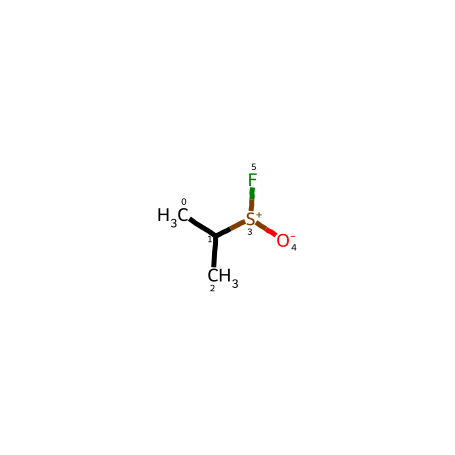 CC(C)[S+]([O-])F